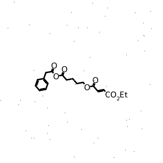 CCOC(=O)C=CC(=O)OCCCCC(=O)OC(=O)Cc1ccccc1